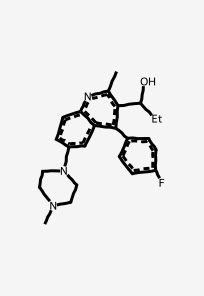 CCC(O)c1c(C)nc2ccc(N3CCN(C)CC3)cc2c1-c1ccc(F)cc1